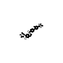 COc1cc2c(cc1N1CC(C)N(C)C(C)C1)N(C(=O)c1ccc(-c3ccc(-c4noc(C)n4)cc3C)cc1)CC2